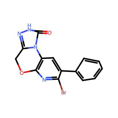 O=c1[nH]nc2n1-c1cc(-c3ccccc3)c(Br)nc1OC2